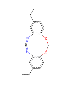 CCc1ccc2c(c1)N=C=Nc1cc(CC)ccc1OCO2